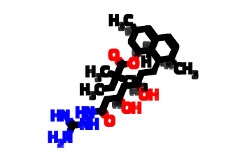 CCC(C)(C)C(=O)O[C@H]1C[C@@H](C)C=C2C=C[C@H](C)[C@@H](CC[C@@H](O)C[C@@H](O)CC(=O)NNC(=N)N)[C@H]21